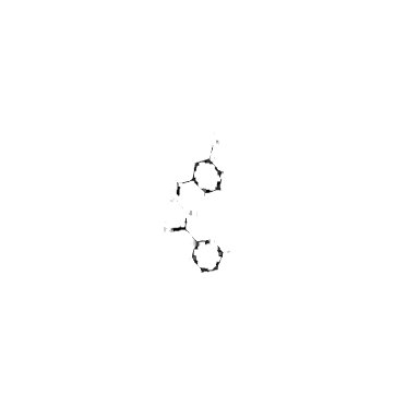 N=C(N/N=C\c1cccc(O)c1)c1ccccn1